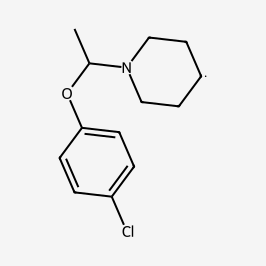 CC(Oc1ccc(Cl)cc1)N1CC[CH]CC1